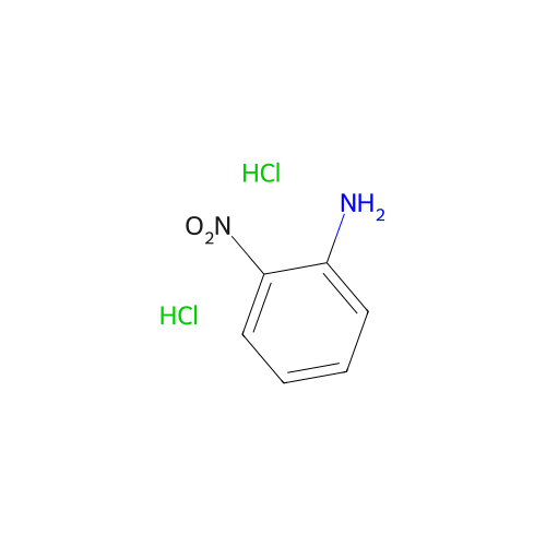 Cl.Cl.Nc1ccccc1[N+](=O)[O-]